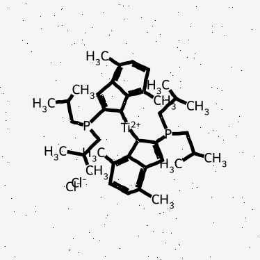 Cc1ccc(C)c2c1C=C(P(CC(C)C)CC(C)C)[CH]2[Ti+2][CH]1C(P(CC(C)C)CC(C)C)=Cc2c(C)ccc(C)c21.[Cl-].[Cl-]